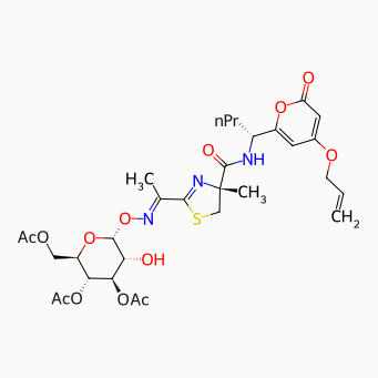 C=CCOc1cc([C@@H](CCC)NC(=O)[C@]2(C)CSC(/C(C)=N/O[C@H]3O[C@H](COC(C)=O)[C@@H](OC(C)=O)[C@H](OC(C)=O)[C@H]3O)=N2)oc(=O)c1